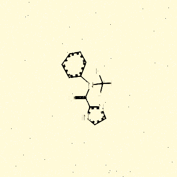 O=C(c1ncc[nH]1)N(c1ccccc1)C(F)(F)F